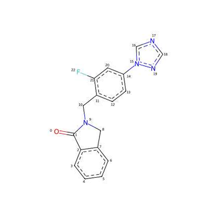 O=C1c2ccccc2CN1Cc1ccc(-n2cncn2)cc1F